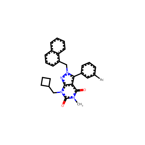 CC(=O)c1cccc(-c2c3c(=O)n(C)c(=O)n(CC4CCC4)c3nn2Cc2cccc3ccccc23)c1